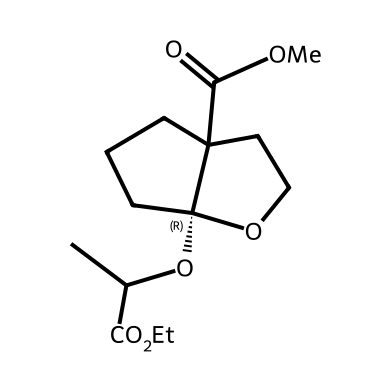 CCOC(=O)C(C)O[C@]12CCCC1(C(=O)OC)CCO2